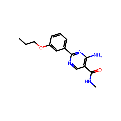 CCCOc1cccc(-c2ncc(C(=O)NC)c(N)n2)c1